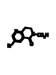 O=C(O)N1CCc2ncc(Br)cc2C1=O